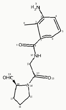 Cc1c(N)cccc1C(=O)NCC(=O)N1CCC[C@H]1C=O